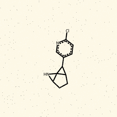 Clc1ccc(C2C3CCC4NC432)cn1